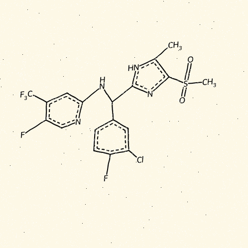 Cc1[nH]c(C(Nc2cc(C(F)(F)F)c(F)cn2)c2ccc(F)c(Cl)c2)nc1S(C)(=O)=O